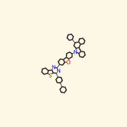 c1ccc(-c2ccc(-c3nc(-c4ccc5c(c4)oc4cc(-n6c7ccccc7c7c8ccccc8c(-c8ccccc8)cc76)ccc45)nc4c3sc3ccccc34)cc2)cc1